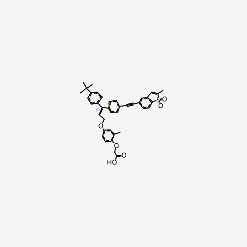 CC1=Cc2cc(C#Cc3ccc(/C(=C\COc4ccc(OCC(=O)O)c(C)c4)c4ccc(C(C)(C)C)cc4)cc3)ccc2S1(=O)=O